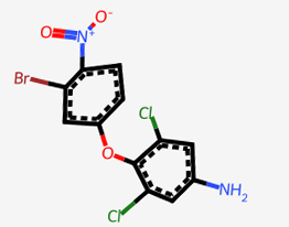 Nc1cc(Cl)c(Oc2ccc([N+](=O)[O-])c(Br)c2)c(Cl)c1